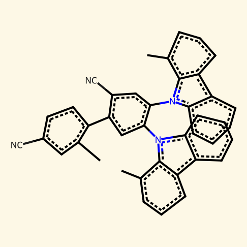 Cc1cc(C#N)ccc1-c1cc(-n2c3ccccc3c3cccc(C)c32)c(-n2c3ccccc3c3cccc(C)c32)cc1C#N